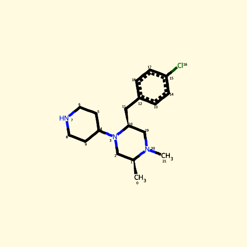 C[C@H]1CN(C2CCNCC2)[C@@H](Cc2ccc(Cl)cc2)CN1C